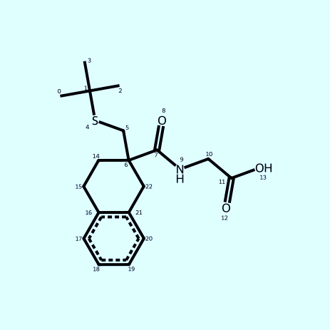 CC(C)(C)SCC1(C(=O)NCC(=O)O)CCc2ccccc2C1